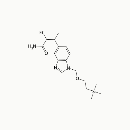 CCC(C(N)=O)C(C)c1ccc2c(c1)ncn2COCC[Si](C)(C)C